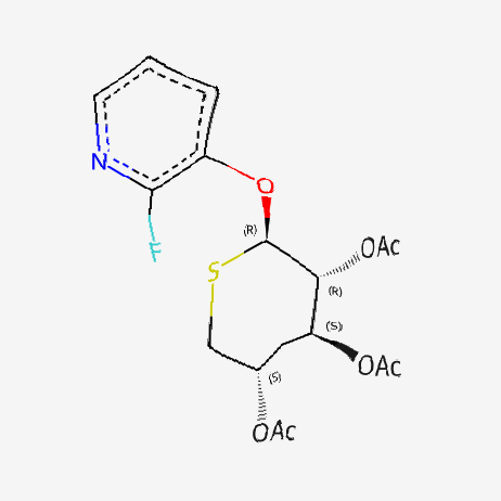 CC(=O)O[C@@H]1[C@@H](OC(C)=O)[C@H](OC(C)=O)CS[C@H]1Oc1cccnc1F